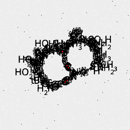 C[C@H](N)C(=O)N[C@H]1CSCc2ccc(cc2)-c2nc3nc(n2)-c2ccc(cc2)CSC[C@H](NC(=O)[C@@H](C)NC(=O)[C@H](Cc2cccc4ccccc24)NC(=O)[C@H](CCC(=O)O)NC(=O)[C@H](CC(N)=O)NC(=O)[C@@H](C)NC1=O)C(=O)N[C@@H](CCC(=O)O)C(=O)N[C@@H](CC(=O)O)C(=O)N[C@@H](Cc1ccccc1)C(=O)N[C@@H](Cc1ccc(O)cc1)C(=O)NC(CC(=O)O)CN[C@@H](C(C)(C)C)C(=O)C[C@H](C(N)=O)CSCc1ccc-3cc1